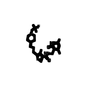 Cc1cc(C)c(CNC(=O)c2csc(CCC=C3CCN(CC(C)(C)F)CC3)c2C)c(=O)[nH]1